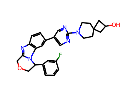 OC1CC2(CCN(c3ncc(-c4ccc5nc6n(c5c4)C(c4cccc(F)c4)COC6)cn3)CC2)C1